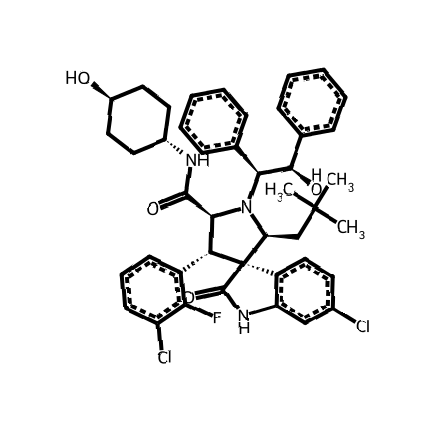 CC(C)(C)C[C@@H]1N([C@@H](c2ccccc2)[C@H](O)c2ccccc2)[C@H](C(=O)N[C@H]2CC[C@H](O)CC2)[C@@H](c2cccc(Cl)c2F)[C@]12C(=O)Nc1cc(Cl)ccc12